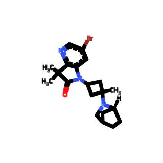 CC1(C)C(=O)N(C2CC(C)(N3CC4CC[C@@H]3C4)C2)c2cc(Br)cnc21